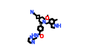 COc1cc(C)c2[nH]ccc2c1CN1CCC2(CC(C#N)C2)C[C@H]1c1ccc(C(=O)NCc2ncccn2)cc1